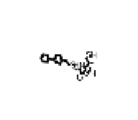 C[C@H](CS)C(=O)N[C@@H](CSCCc1ccc(-c2ccccc2)cc1)C(=O)O